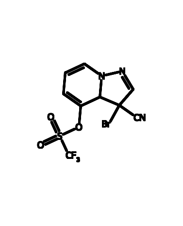 N#CC1(Br)C=NN2C=CC=C(OS(=O)(=O)C(F)(F)F)C21